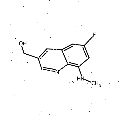 CNc1cc(F)cc2cc(CO)cnc12